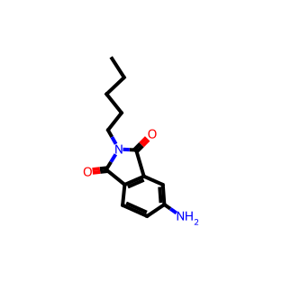 CCCCCN1C(=O)c2ccc(N)cc2C1=O